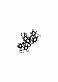 CCc1ccc(Oc2c(Oc3ccc(CC)cc3)c(OCc3ccccc3)c3cc(Cl)ccc3c2OCc2ccccc2)cc1